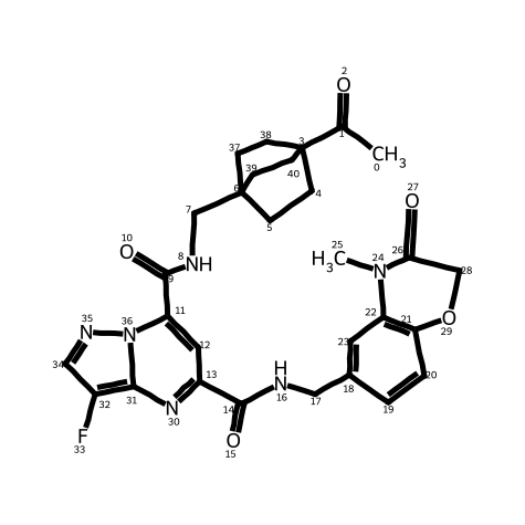 CC(=O)C12CCC(CNC(=O)c3cc(C(=O)NCc4ccc5c(c4)N(C)C(=O)CO5)nc4c(F)cnn34)(CC1)CC2